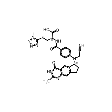 C#CCN(c1ccc(C(=O)N[C@@H](CSc2nnn[nH]2)C(=O)O)cc1)[C@@H]1CCc2cc3nc(C)[nH]c(=O)c3cc21